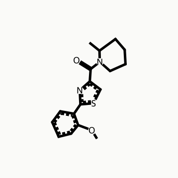 COc1ccccc1-c1nc(C(=O)N2CCCCC2C)cs1